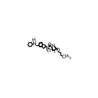 CCCCOc1ccc(C(=O)N(C)[C@@H]2Cc3ccc(CNC4CCCCC4)cc3C2)nc1